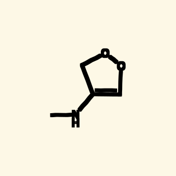 CNC1=COOC1